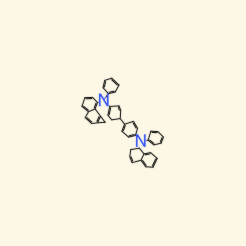 C1=Cc2ccccc2C(N(c2ccccc2)c2ccc(C3C=CC(N(c4ccccc4)c4cccc5ccc6c(c45)C6)=CC3)cc2)C1